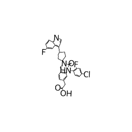 O=C(O)Cc1ccc(CN(C(=O)Nc2ccc(Cl)cc2F)C2CCC(c3ccnc4ccc(F)cc34)CC2)cc1